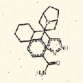 NC(=O)c1cccc(C2CC3CCC(C2)N3C(c2c[nH]nn2)C2CCCCC2)c1